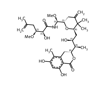 C=C(C)C[C@H](OC)[C@H](O)C(=O)N[C@@H](OC)[C@@H]1CC(=C)C(C)(C)[C@@H](C[C@H](O)[C@@H](C)[C@H]2Cc3c(C)c(O)cc(O)c3C(=O)O2)O1